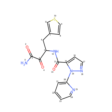 NC(=O)C(=O)C(Cc1ccsc1)NC(=O)c1ccnn1-c1ccccn1